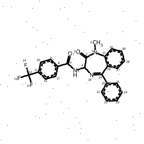 CN1C(=O)C(NC(=O)c2ccc(C(F)(F)F)cc2)N=C(c2ccccc2)c2ccccc21